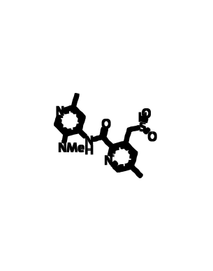 CNc1cnc(C)cc1NC(=O)c1ncc(C)cc1C[SH](=O)=O